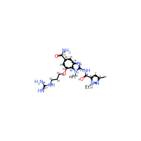 CCCn1c(NC(=O)c2cc(C)nn2CC)nc2cc(C(N)=O)cc(OCCCNC(=N)N)c21